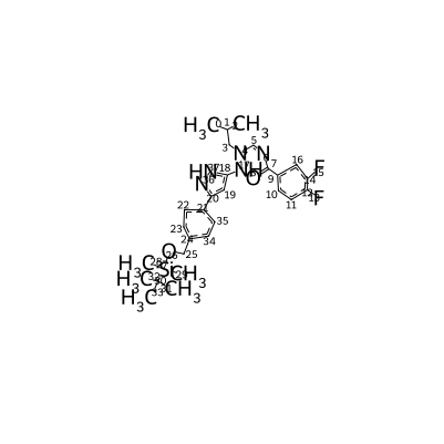 CC(C)CN(/C=N\C(=O)c1ccc(F)c(F)c1)Nc1cc(-c2ccc(CO[Si](C)(C)C(C)(C)C)cc2)n[nH]1